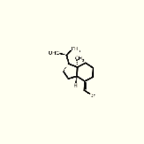 C[C@H](C=O)[C@H]1CC[C@H]2/C(=C/Br)CCC[C@]12C